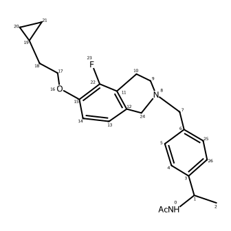 CC(=O)NC(C)c1ccc(CN2CCc3c(ccc(OCCC4CC4)c3F)C2)cc1